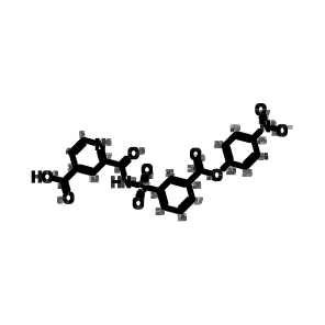 O=C(O)c1ccnc(C(=O)NS(=O)(=O)c2cccc(C(=O)Oc3ccc([N+](=O)[O-])cc3)c2)c1